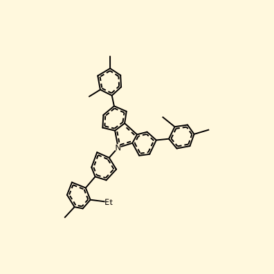 CCc1cc(C)ccc1-c1ccc(-n2c3ccc(-c4ccc(C)cc4C)cc3c3cc(-c4ccc(C)cc4C)ccc32)cc1